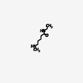 CCNC(=O)CCCCNC